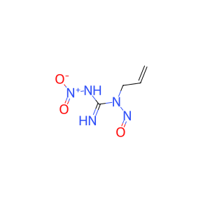 C=CCN(N=O)C(=N)N[N+](=O)[O-]